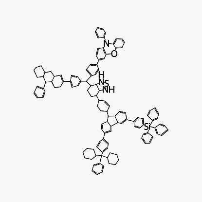 C1=CC2C(C=C1c1ccc(C(c3ccccc3)(C3CCCCC3)C3CCCCC3)cc1)C1C=C(c3ccc([Si](c4ccccc4)(c4ccccc4)c4ccccc4)cc3)C=CC1C2C1C=CC(C2CCC(C(c3ccc(C4=CC5CC6CCCCC6C(c6ccccc6)C5CC4)cc3)c3ccc(-c4ccc5c(c4)Oc4ccccc4N5c4ccccc4)cc3)C3NSNC23)CC1